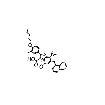 CCCCCOc1ccc(-c2sc3c(N(C)C)c(Cc4cccc5ccccc45)cc(=O)n3c2C(=O)O)cc1C